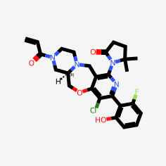 C=CC(=O)N1CCN2Cc3c(N4C(=O)CCC4(C)C)nc(-c4c(O)cccc4F)c(Cl)c3OC[C@H]2C1